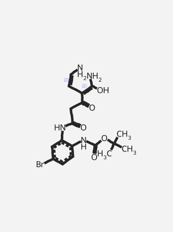 CC(C)(C)OC(=O)Nc1ccc(Br)cc1NC(=O)CC(=O)C(/C=C\N)=C(/N)O